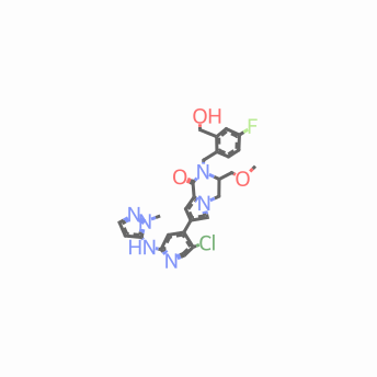 COCC1Cn2cc(-c3cc(Nc4ccnn4C)ncc3Cl)cc2C(=O)N1Cc1ccc(F)cc1CO